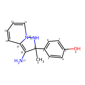 CC1(c2ccc(O)cc2)NN2C=CC=CC2=C1N